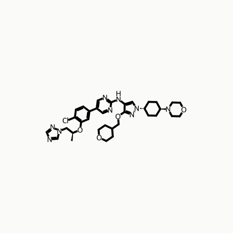 C[C@@H](Cn1cncn1)Oc1cc(-c2cnc(Nc3cn([C@H]4CC[C@H](N5CCOCC5)CC4)nc3OCC3CCOCC3)nc2)ccc1Cl